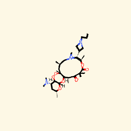 CCCN1CC([C@@H]2[C@@H](C)OC(=O)C(C)(C)C(=O)[C@H](C)[C@H]3O[C@@H]4O[C@H](C)C[C@H](N(C)C)[C@H]4OO[C@]3(C)C[C@@H](C)CN2C)C1